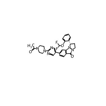 CC(=O)N1CCN(c2ncc(-c3ccc4c(=O)n5n(c4c3)[C@H](c3ccccc3OC(F)F)CC5)cn2)CC1